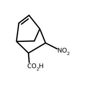 O=C(O)C1C2C=CC(C2)C1[N+](=O)[O-]